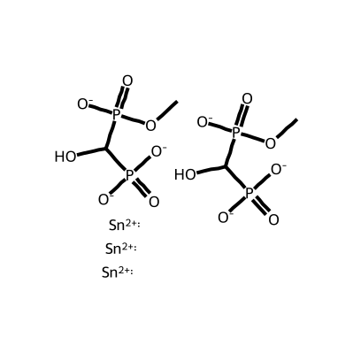 COP(=O)([O-])C(O)P(=O)([O-])[O-].COP(=O)([O-])C(O)P(=O)([O-])[O-].[Sn+2].[Sn+2].[Sn+2]